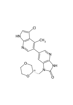 Cc1c(-c2cnc3[nH]c(=O)n(C[C@H]4COCCO4)c3c2)cnc2[nH]cc(Cl)c12